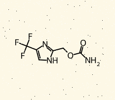 NC(=O)OCc1nc(C(F)(F)F)c[nH]1